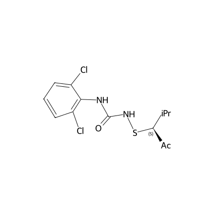 CC(=O)[C@@H](SNC(=O)Nc1c(Cl)cccc1Cl)C(C)C